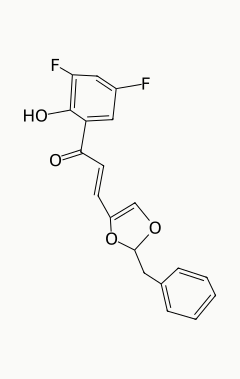 O=C(C=CC1=COC(Cc2ccccc2)O1)c1cc(F)cc(F)c1O